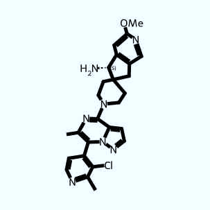 COc1cc2c(cn1)CC1(CCN(c3nc(C)c(-c4ccnc(C)c4Cl)n4nccc34)CC1)[C@@H]2N